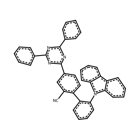 N#Cc1cc(-c2nc(-c3ccccc3)nc(-c3ccccc3)n2)ccc1-c1ccccc1-n1c2ccccc2c2ccccc21